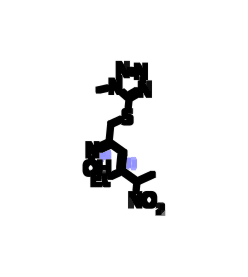 CC/C(=C\C(CSc1nnnn1C)=N/O)C(C)[N+](=O)[O-]